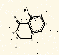 C[C@H]1Cc2cccc(O)c2C(=O)O1